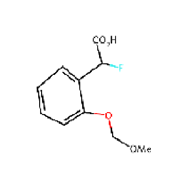 COCOc1ccccc1C(F)C(=O)O